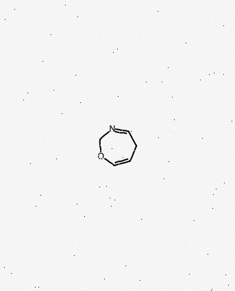 [C]1=NCOC=CC1